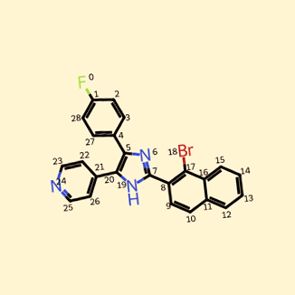 Fc1ccc(-c2nc(-c3ccc4ccccc4c3Br)[nH]c2-c2ccncc2)cc1